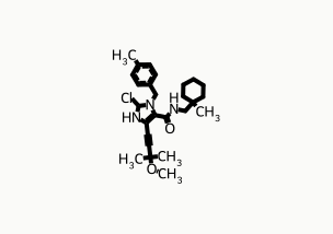 COC(C)(C)C#CC1=C(C(=O)NCC2(C)CCCCC2)N(Cc2ccc(C)cc2)C(Cl)N1